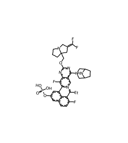 C=C(CC)c1c(F)ccc2cc(OP(=O)(O)O)cc(-c3ncc4c(N5CC6CCC(C5)N6)nc(OCC56CCCN5CC(=C(F)F)C6)nc4c3F)c12